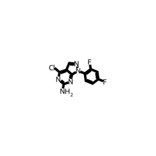 Nc1nc(Cl)c2cnn(-c3ccc(F)cc3F)c2n1